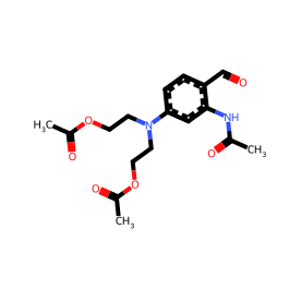 CC(=O)Nc1cc(N(CCOC(C)=O)CCOC(C)=O)ccc1C=O